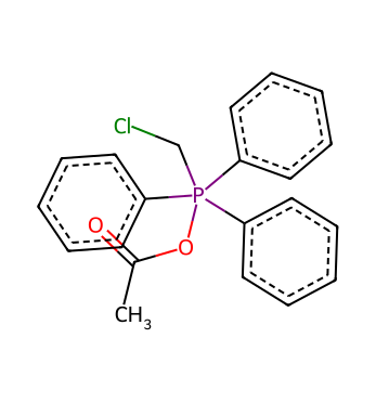 CC(=O)OP(CCl)(c1ccccc1)(c1ccccc1)c1ccccc1